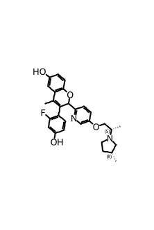 CC1=C(c2ccc(O)cc2F)C(c2ccc(OC[C@H](C)N3CC[C@@H](C)C3)cn2)Oc2ccc(O)cc21